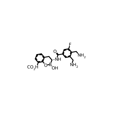 NCc1cc(C(=O)N[C@H]2Cc3cccc(C(=O)O)c3OB2O)cc(F)c1CN